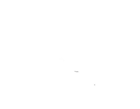 CCC1([C@@]2(C)CCC3C(C2C)[C@@H](O)C=C2C[C@@H](CO)CC[C@@]23C)OCCO1